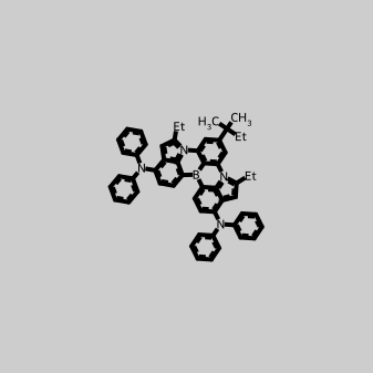 CCc1cc2c(N(c3ccccc3)c3ccccc3)ccc3c2n1-c1cc(C(C)(C)CC)cc2c1B3c1ccc(N(c3ccccc3)c3ccccc3)c3cc(CC)n-2c13